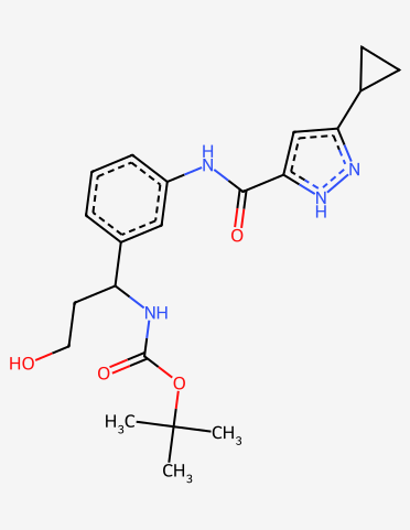 CC(C)(C)OC(=O)NC(CCO)c1cccc(NC(=O)c2cc(C3CC3)n[nH]2)c1